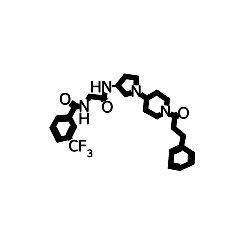 O=C(CNC(=O)c1cccc(C(F)(F)F)c1)N[C@@H]1CCN(C2CCN(C(=O)CCc3ccccc3)CC2)C1